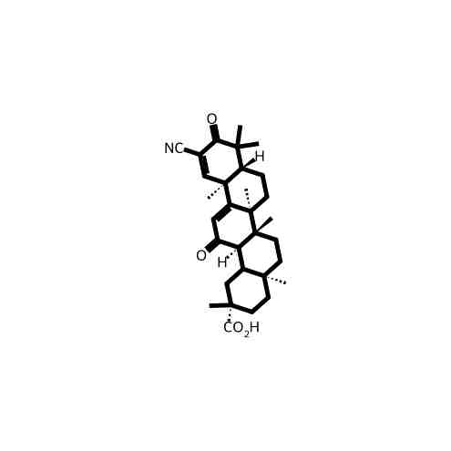 CC1(C)C(=O)C(C#N)=C[C@]2(C)C3=CC(=O)[C@@H]4C5C[C@@](C)(C(=O)O)CC[C@]5(C)CC[C@@]4(C)[C@]3(C)CC[C@@H]12